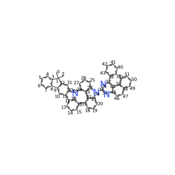 CC1(C)c2ccccc2-c2cc3c4cccc5c6cccc7c6c6c(cccc6n(c3cc21)c54)n7-c1nc(-c2ccccc2)c2c(ccc3ccccc32)n1